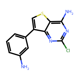 Nc1cccc(-c2csc3c(N)nc(Cl)nc23)c1